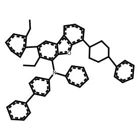 CCc1ccccc1-c1cc2c(oc3c(C4CCC(c5ccccc5)CC4)cccc32)c(N(c2ccccc2)c2ccc(-c3ccccc3)cc2)c1CC